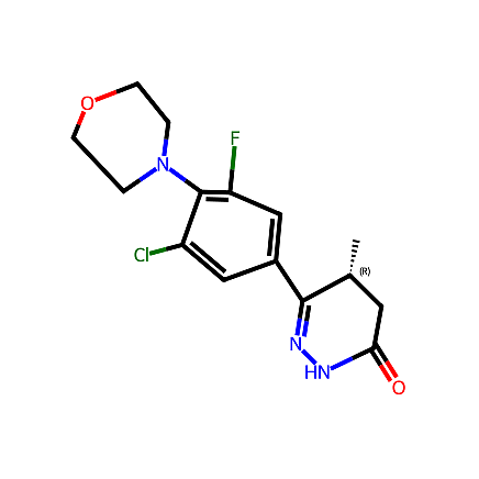 C[C@@H]1CC(=O)NN=C1c1cc(F)c(N2CCOCC2)c(Cl)c1